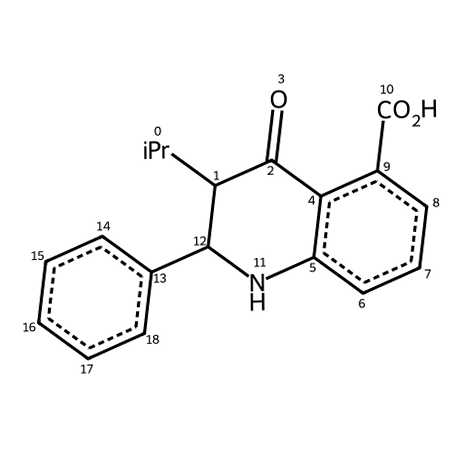 CC(C)C1C(=O)c2c(cccc2C(=O)O)NC1c1ccccc1